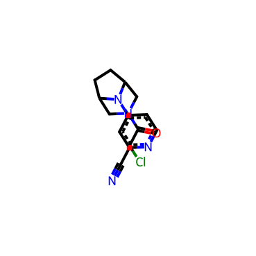 N#Cc1cc(N2C3CCC2CN(C(=O)CCl)C3)ccn1